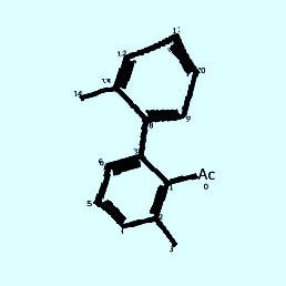 CC(=O)c1c(C)cccc1-c1ccccc1C